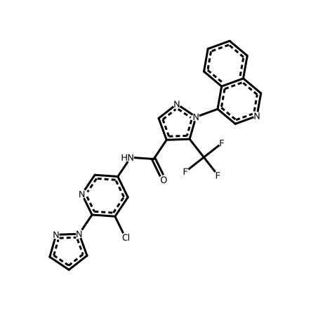 O=C(Nc1cnc(-n2cccn2)c(Cl)c1)c1cnn(-c2cncc3ccccc23)c1C(F)(F)F